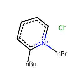 CCCCc1cccc[n+]1CCC.[Cl-]